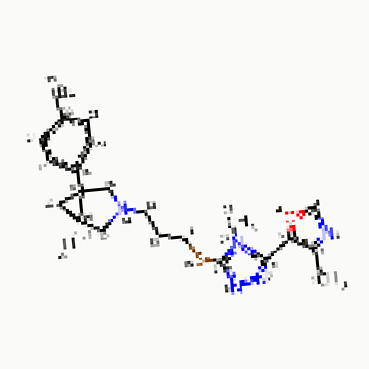 Cc1ncoc1-c1nnc(SCCCN2C[C@H]3CC3(c3ccc(C(C)(C)C)cc3)C2)n1C